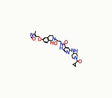 Cc1ncoc1COc1ccc2c(c1)CCN(C[C@@H](O)CNC(=O)c1ccnc(NC3CCN(C(=O)C4CC4)CC3)c1)C2